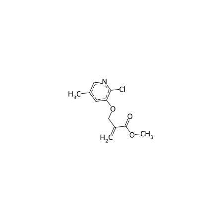 C=C(COc1cc(C)cnc1Cl)C(=O)OC